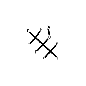 FC(F)(F)C(F)(OBr)C(F)(F)F